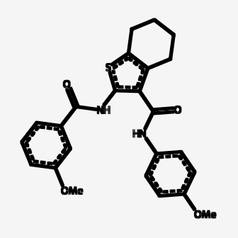 COc1ccc(NC(=O)c2c(NC(=O)c3cccc(OC)c3)sc3c2CCCC3)cc1